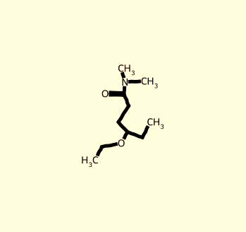 CCOC(CC)CCC(=O)N(C)C